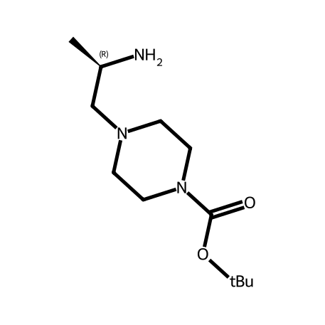 C[C@@H](N)CN1CCN(C(=O)OC(C)(C)C)CC1